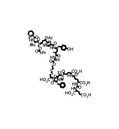 CCCC(=O)OCN(C(=O)[C@@H](NC(=O)[C@H]1CCCCN1C)C(C)CC)[C@H](C[C@@H](OC(C)=O)c1nc(C(=O)N[C@@H](Cc2ccc(O)cc2)C[C@H](C)C(=O)NNC(=O)OCCSSC[C@@H](NC(=O)[C@@H](Cc2ccccc2)NC(=O)[C@H](CC)NC(=O)CC[C@H](NC(=O)CC[C@H](NC(=O)N[C@@H](CCC(=O)O)C(=O)O)C(=O)O)C(=O)O)C(=O)O)cs1)C(C)C